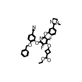 CCOC(=O)C1CC(Oc2c(F)c(Oc3cccc(C4=NCCN4C)c3)nc(Oc3cc(C#N)ccc3OCc3ccccc3)c2F)C1